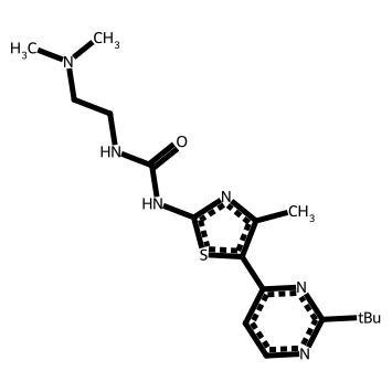 Cc1nc(NC(=O)NCCN(C)C)sc1-c1ccnc(C(C)(C)C)n1